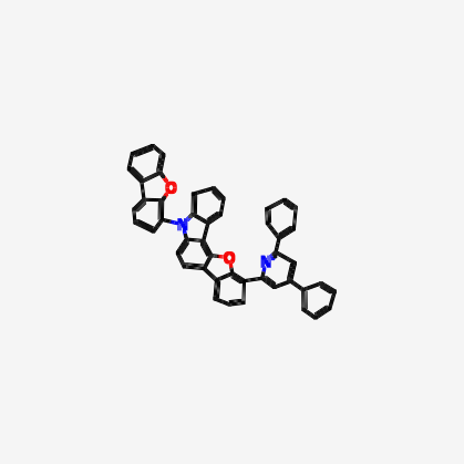 c1ccc(-c2cc(-c3ccccc3)nc(-c3cccc4c3oc3c4ccc4c3c3ccccc3n4-c3cccc4c3oc3ccccc34)c2)cc1